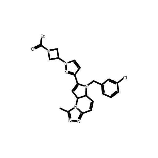 CCC(=O)N1CC(n2ccc(C3=CC4C(C=Cc5nnc(C)n54)N3Cc3cccc(Cl)c3)n2)C1